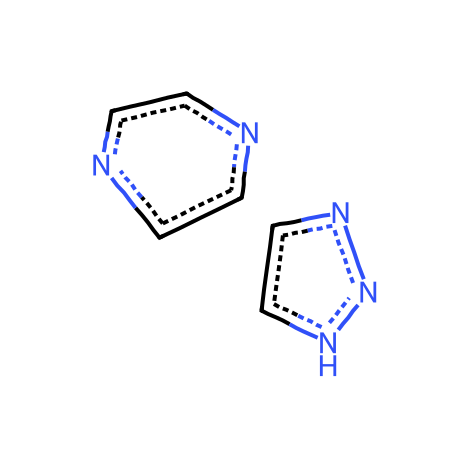 c1c[nH]nn1.c1cnccn1